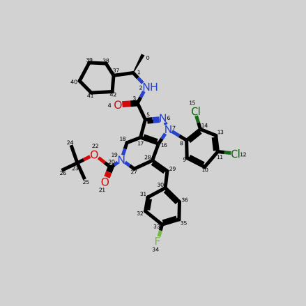 C[C@@H](NC(=O)c1nn(-c2ccc(Cl)cc2Cl)c2c1CN(C(=O)OC(C)(C)C)CC2=Cc1ccc(F)cc1)C1CCCCC1